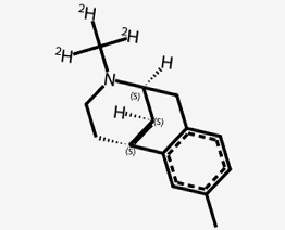 [2H]C([2H])([2H])N1CC[C@@]23CCCC[C@@H]2[C@@H]1Cc1ccc(C)cc13